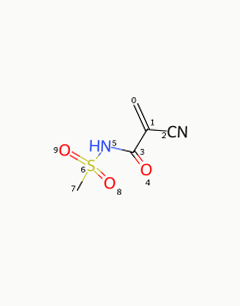 C=C(C#N)C(=O)NS(C)(=O)=O